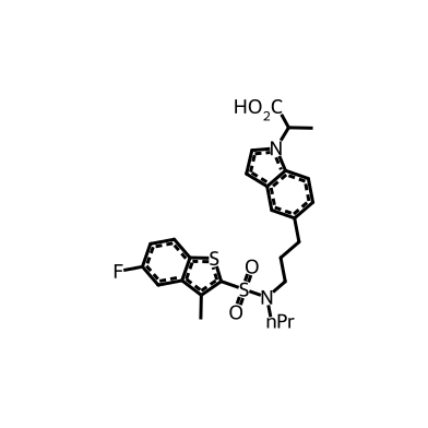 CCCN(CCCc1ccc2c(ccn2C(C)C(=O)O)c1)S(=O)(=O)c1sc2ccc(F)cc2c1C